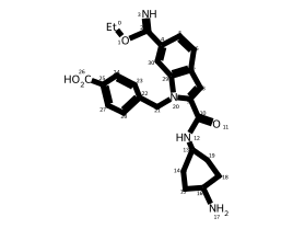 CCOC(=N)c1ccc2cc(C(=O)NC3CCC(N)CC3)n(Cc3ccc(C(=O)O)cc3)c2c1